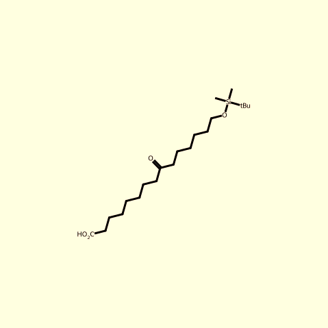 CC(C)(C)[Si](C)(C)OCCCCCCC(=O)CCCCCCCC(=O)O